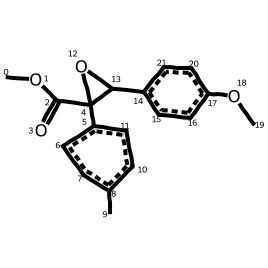 COC(=O)C1(c2ccc(C)cc2)OC1c1ccc(OC)cc1